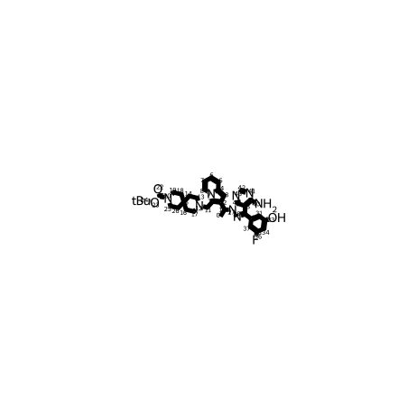 CC(c1cc2ccccn2c1CN1CCC2(CC1)CCN(C(=O)OC(C)(C)C)CC2)n1nc(-c2cc(O)cc(F)c2)c2c(N)ncnc21